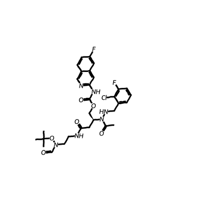 CC(=O)N(NCc1cccc(F)c1Cl)[C@H](COC(=O)Nc1cc2cc(F)ccc2cn1)CC(=O)NCCN(C=O)OC(C)(C)C